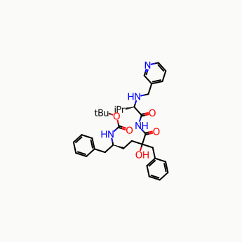 CC(C)[C@@H](NCc1cccnc1)C(=O)NC(=O)C(O)(CC[C@@H](Cc1ccccc1)NC(=O)OC(C)(C)C)Cc1ccccc1